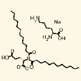 CCCCCCCCCCCC(=O)N(C(=O)CCCCCCCCCCC)[C@@H](CCC(=O)O)C(=O)[O-].NCCCC[C@H](N)C(=O)O.[Na+]